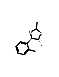 [CH2][C@H]1OC(C)O[C@@H]1c1ccccc1C